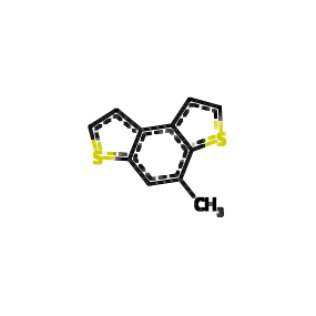 Cc1cc2sccc2c2ccsc12